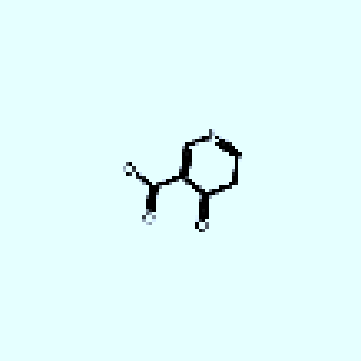 [O]C(=O)C1=CN=CCC1=O